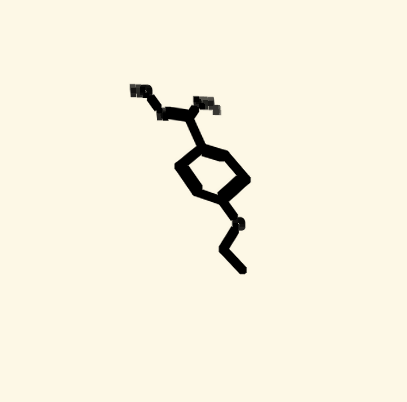 CCOc1ccc(C(N)=NO)cc1